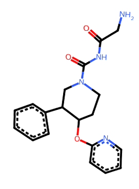 NCC(=O)NC(=O)N1CCC(Oc2ccccn2)C(c2ccccc2)C1